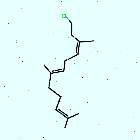 CC(C)=CCCC(C)=CCC=C(C)CCCl